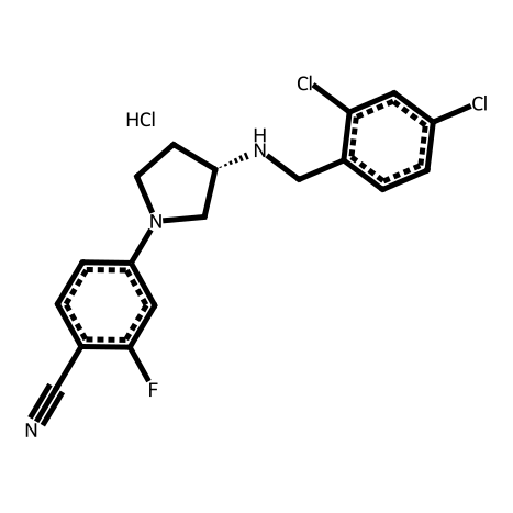 Cl.N#Cc1ccc(N2CC[C@H](NCc3ccc(Cl)cc3Cl)C2)cc1F